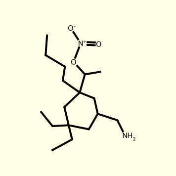 CCCCC1(C(C)O[N+](=O)[O-])CC(CN)CC(CC)(CC)C1